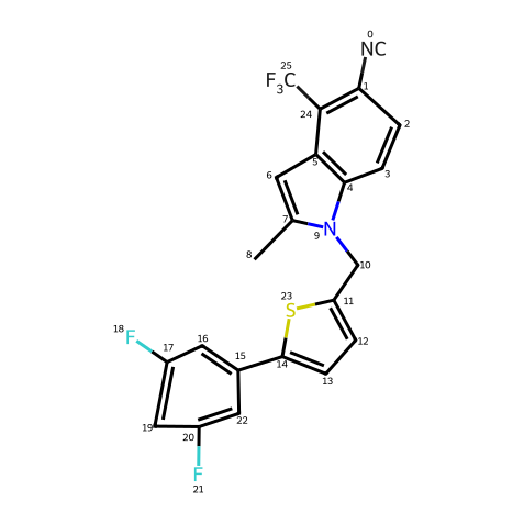 [C-]#[N+]c1ccc2c(cc(C)n2Cc2ccc(-c3cc(F)cc(F)c3)s2)c1C(F)(F)F